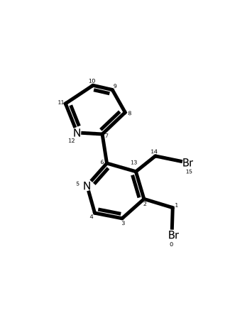 BrCc1ccnc(-c2ccccn2)c1CBr